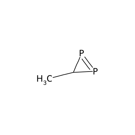 CC1P=P1